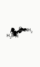 Bc1cnn2c(NCC3CCCN(C(=O)C(=C)/C=N\C=C/N)C3)cc(-c3ccccc3O)nc12